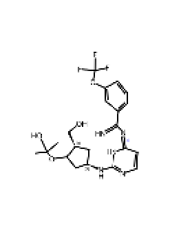 CC(C)(O)OC1C[C@H](Nc2ncc/c(=N/C(=N)c3cccc(OC(F)(F)F)c3)[nH]2)C[C@@H]1CO